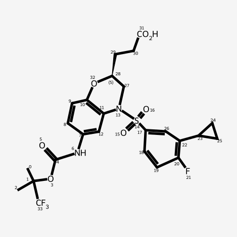 CC(C)(OC(=O)Nc1ccc2c(c1)N(S(=O)(=O)c1ccc(F)c(C3CC3)c1)C[C@H](CCC(=O)O)O2)C(F)(F)F